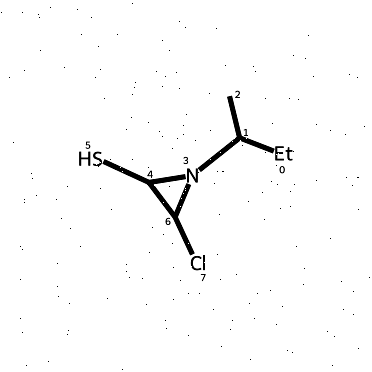 CCC(C)N1C(S)C1Cl